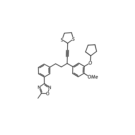 COc1ccc(C(C#CC2SCCS2)CCc2cccc(-c3noc(C)n3)c2)cc1OC1CCCC1